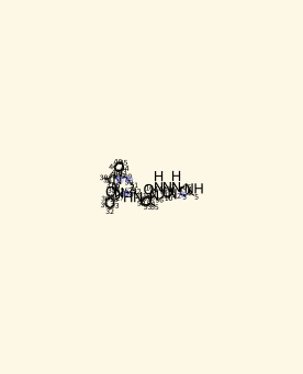 C=C(/C=C\C(C)=N)Nc1ncc2c(n1)NC(=O)N(c1cc(NCC3/C=C/N(Cc4ccccc4)C(=O)[C@H](CC(C)C)/N=C(c4ccccc4)\C=C\C3)ccc1C)C2